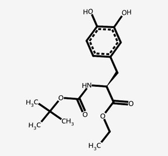 CCOC(=O)[C@H](Cc1ccc(O)c(O)c1)NC(=O)OC(C)(C)C